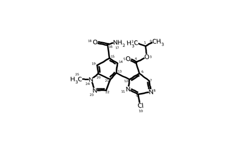 CC(C)OC(=O)c1cnc(Cl)nc1-c1cc(C(N)=O)cc2c1cnn2C